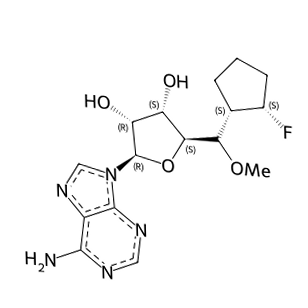 COC([C@H]1O[C@@H](n2cnc3c(N)ncnc32)[C@H](O)[C@@H]1O)[C@@H]1CCC[C@@H]1F